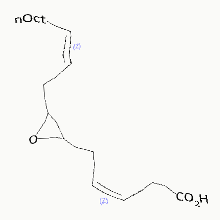 CCCCCCCC/C=C\CC1OC1C/C=C\CC(=O)O